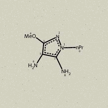 CCCn1nc(OC)c(N)c1N